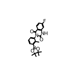 Cc1c(B2OC(C)(C)C(C)(C)O2)cccc1-n1c(=O)[nH]c2cc(F)ccc2c1=O